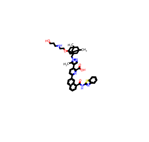 Cc1c(-c2ccc(-c3ccc4cccc(C(=O)Nc5nc6ccccc6s5)c4c3)nc2C(=O)O)cnn1CC12CC3(C)CC(C)(C1)CC(OCCNCCCO)(C3)C2